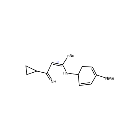 CCCC/C(=C/C(=N)C1CC1)NC1C=CC(NC)=CC1